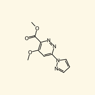 COC(=O)c1nnc(-n2cccn2)cc1OC